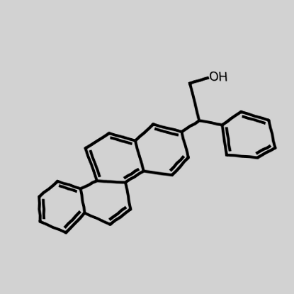 OCC(c1ccccc1)c1ccc2c(ccc3c4ccccc4ccc23)c1